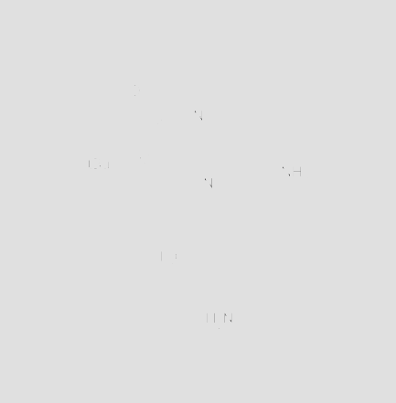 CC(C)(C)OC(=O)N1CCCCC1Nc1c(N)ccc(N)c1C(F)(F)F